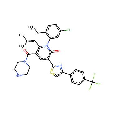 CCc1ccc(Cl)cc1-n1c(C=C(C)C)c(C(=O)N2CCNCC2)cc(-c2nc(-c3ccc(C(F)(F)F)cc3)cs2)c1=O